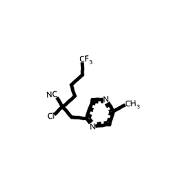 Cc1cnc(CC(Cl)(C#N)CCCC(F)(F)F)cn1